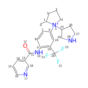 CC1CCC[N+]1(c1ccc(NC(=O)c2cccnc2)c(C(F)(F)F)c1)C1CCNC1